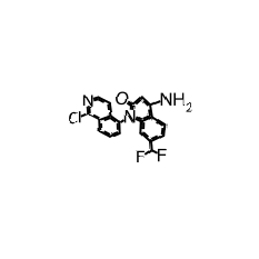 Nc1cc(=O)n(-c2cccc3c(Cl)nccc23)c2cc(C(F)F)ccc12